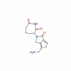 NCc1scc2c1CN(C1CCCC(=O)NC1=O)C2=O